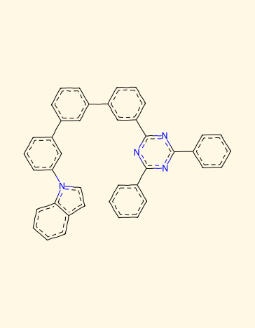 c1ccc(-c2nc(-c3ccccc3)nc(-c3cccc(-c4cccc(-c5cccc(-n6ccc7ccccc76)c5)c4)c3)n2)cc1